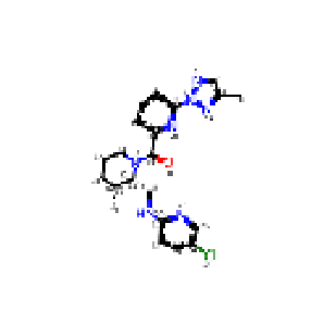 Cc1cnn(-c2cccc(C(=O)N3CCC[C@@H](C)[C@H]3CNc3ccc(Cl)cn3)n2)n1